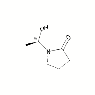 C[C@@H](O)N1CCCC1=O